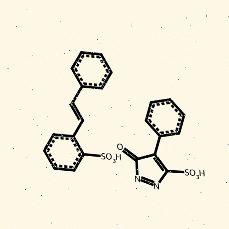 O=C1N=NC(S(=O)(=O)O)=C1c1ccccc1.O=S(=O)(O)c1ccccc1C=Cc1ccccc1